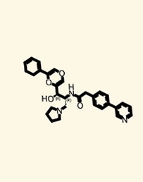 O=C(Cc1ccc(-c2cccnc2)cc1)N[C@H](CN1CCCC1)[C@@H](O)C1=COC=C(C2=CC=CCC2)O1